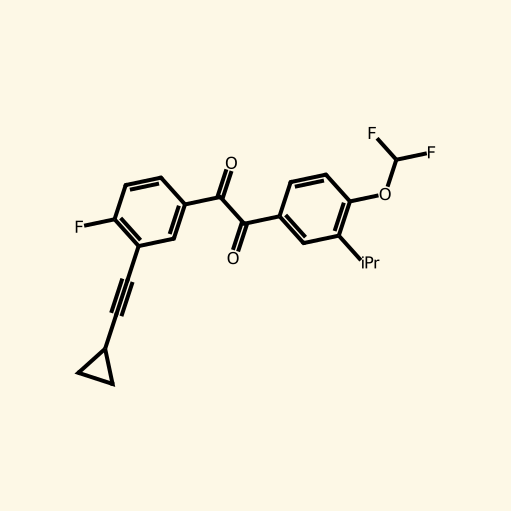 CC(C)c1cc(C(=O)C(=O)c2ccc(F)c(C#CC3CC3)c2)ccc1OC(F)F